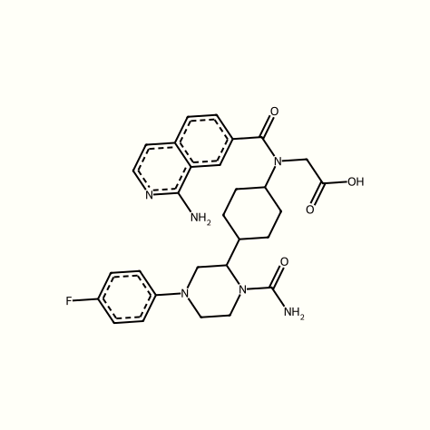 NC(=O)N1CCN(c2ccc(F)cc2)CC1C1CCC(N(CC(=O)O)C(=O)c2ccc3ccnc(N)c3c2)CC1